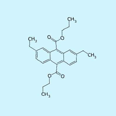 CCCOC(=O)c1c2ccc(CC)cc2c(C(=O)OCCC)c2cc(CC)ccc12